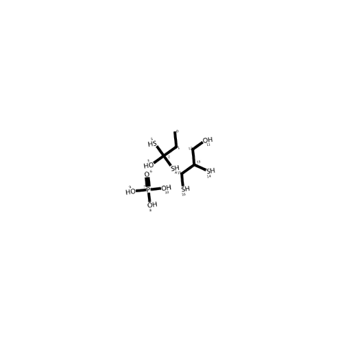 CCC(O)(S)S.O=P(O)(O)O.OCC(S)CS